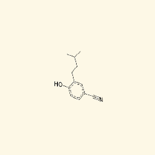 CC(C)CCc1cc(C#N)ccc1O